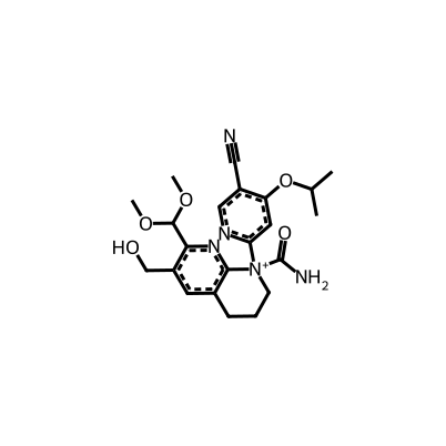 COC(OC)c1nc2c(cc1CO)CCC[N+]2(C(N)=O)c1cc(OC(C)C)c(C#N)cn1